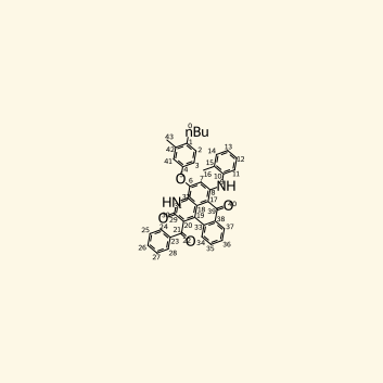 CCCCc1ccc(Oc2cc(Nc3ccccc3C)c3c4c(c(C(=O)c5ccccc5)c(=O)[nH]c24)-c2ccccc2C3=O)cc1C